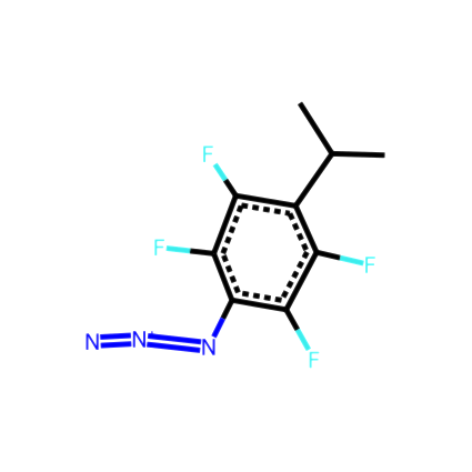 CC(C)c1c(F)c(F)c(N=[N+]=[N-])c(F)c1F